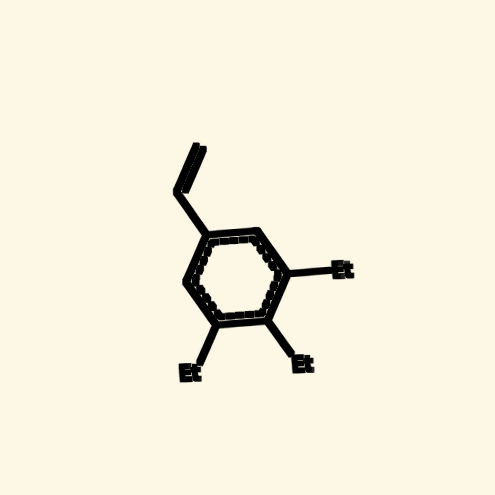 C=Cc1cc(CC)c(CC)c(CC)c1